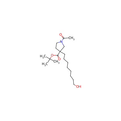 CC(=O)N1CCC(CCCCCCCCO)(C(=O)OC(C)(C)C)C1